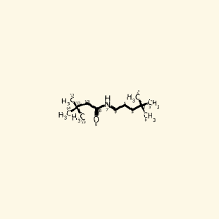 CC(C)(C)CCCNC(=O)CC(C)(C)C